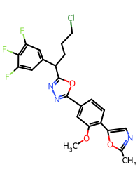 COc1cc(-c2nnc(C(CCCCl)c3cc(F)c(F)c(F)c3)o2)ccc1-c1cnc(C)o1